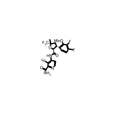 [2H]c1c(NC(=O)[C@H]2O[C@](C)(C(F)(F)F)[C@H](C)[C@@H]2c2ccc(F)c(F)c2OC)ccnc1C(N)=O